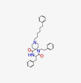 O=C1C(Cc2ccccc2)NC(=O)C2(CCN(CCCCCCc3ccccc3)CC2)N1CCc1ccccc1